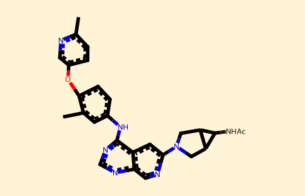 CC(=O)NC1C2CN(c3cc4c(Nc5ccc(Oc6ccc(C)nc6)c(C)c5)ncnc4cn3)CC21